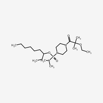 CCCCCCC(CC)OP(=O)(N(C)C)N1CCN(C(=O)C(C)(C)OCC)CC1